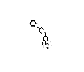 CC(C)[C@]1(c2ccc(C(=O)N3CCC(c4nc5ccccc5s4)CC3)cc2)NC(=O)NC1=O